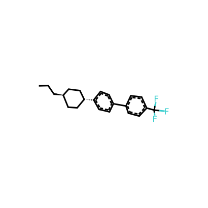 CCC[C@H]1CC[C@H](c2ccc(-c3ccc(C(F)(F)F)cc3)cc2)CC1